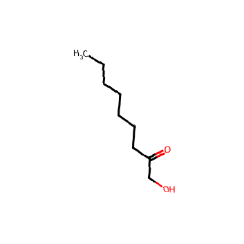 CCCCCCCC(=O)CO